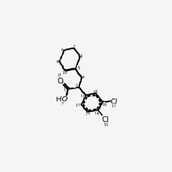 O=C(O)C(CC1CCCCC1)c1ccc(Cl)c(Cl)c1